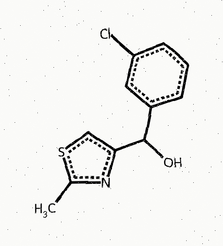 Cc1nc(C(O)c2cccc(Cl)c2)cs1